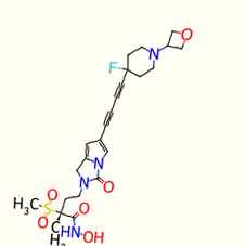 C[C@@](CCN1Cc2cc(C#CC#CC3(F)CCN(C4COC4)CC3)cn2C1=O)(C(=O)NO)S(C)(=O)=O